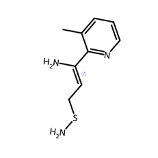 Cc1cccnc1/C(N)=C/CSN